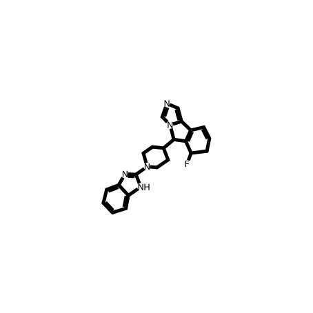 FC1CC=CC2=C1C(C1CCN(c3nc4ccccc4[nH]3)CC1)n1cncc12